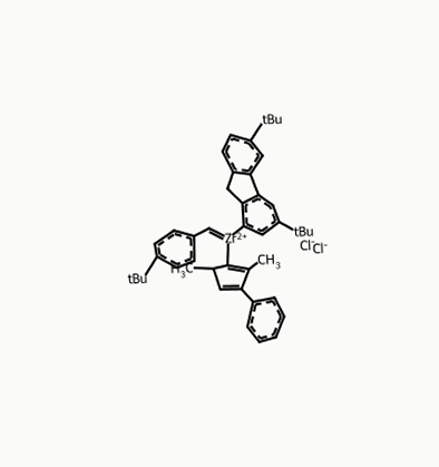 CC1=[C]([Zr+2](=[CH]c2ccc(C(C)(C)C)cc2)[c]2cc(C(C)(C)C)cc3c2Cc2ccc(C(C)(C)C)cc2-3)C(C)C=C1c1ccccc1.[Cl-].[Cl-]